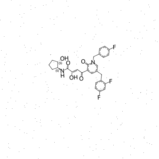 O=C(N[C@H]1CCC[C@@H]1O)C(O)=CC(=O)c1cc(Cc2ccc(F)cc2F)cn(Cc2ccc(F)cc2)c1=O